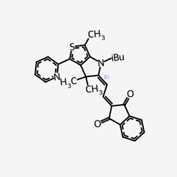 CCC(C)N1/C(=C/C=C2C(=O)c3ccccc3C2=O)C(C)(C)c2c(-c3ccccn3)sc(C)c21